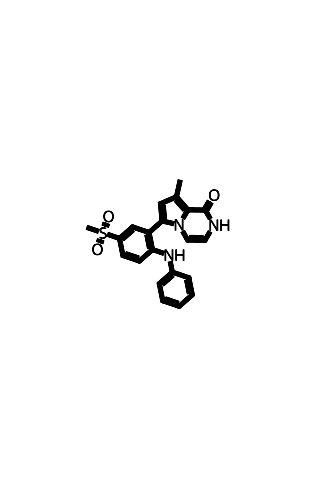 Cc1cc(-c2cc(S(C)(=O)=O)ccc2Nc2ccccc2)n2cc[nH]c(=O)c12